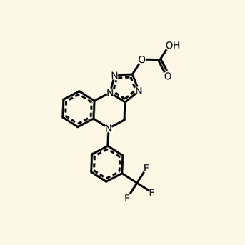 O=C(O)Oc1nc2n(n1)-c1ccccc1N(c1cccc(C(F)(F)F)c1)C2